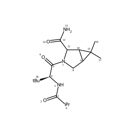 CC(C)C(=O)N[C@H](C(=O)N1CC2C(C1C(N)=O)C2(C)C)C(C)(C)C